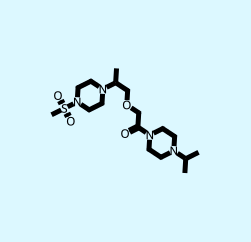 CC(C)N1CCN(C(=O)COCC(C)N2CCN(S(C)(=O)=O)CC2)CC1